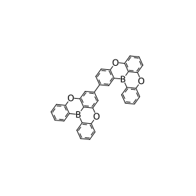 c1ccc2c(c1)Oc1cc(-c3ccc4c(c3)B3c5ccccc5Oc5cccc(c53)O4)cc3c1B2c1ccccc1O3